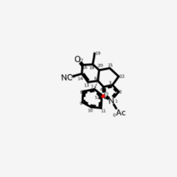 CC(=O)n1cc2c(n1)[C@@]1(c3ccccc3)C=C(C#N)C(=O)C(C)C1CC2